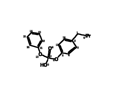 CC(C)Cc1ccc(OP(=O)(O)Oc2ccccc2)cc1